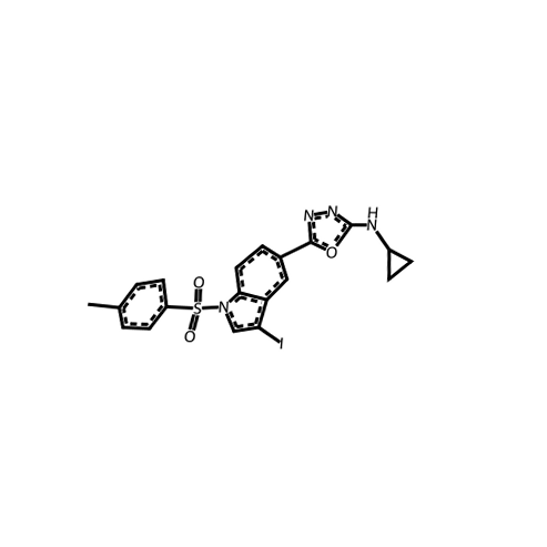 Cc1ccc(S(=O)(=O)n2cc(I)c3cc(-c4nnc(NC5CC5)o4)ccc32)cc1